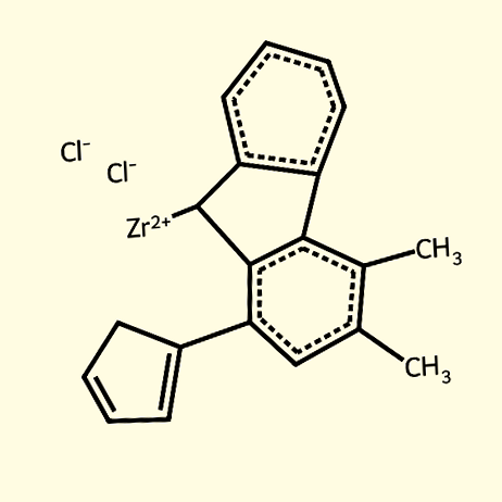 Cc1cc(C2=CC=CC2)c2c(c1C)-c1ccccc1[CH]2[Zr+2].[Cl-].[Cl-]